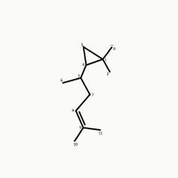 [CH]C1(C)CC1C(C)CC=C(C)C